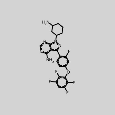 Nc1ncnc2c1c(-c1ccc(Oc3c(F)c(F)cc(F)c3F)cc1F)nn2C1CCCC(N)C1